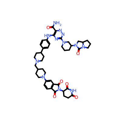 NC(=O)c1nnc(N2CCCC(N3CC4CCCN4C3=O)C2)nc1Nc1ccc(C2CCN(CC3CCN(c4ccc5c(c4)C(=O)N(C4CCC(=O)NC4=O)C5=O)CC3)CC2)cc1